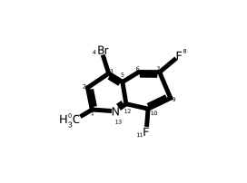 Cc1cc(Br)c2cc(F)cc(F)c2n1